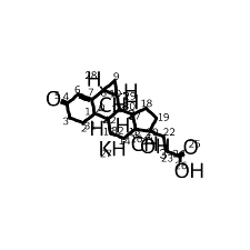 C[C@]12CCC(=O)C=C1[C@H]1C[C@H]1[C@@H]1[C@@H]2CC[C@@]2(C)[C@H]1CC[C@@]2(O)CCC(=O)O.[KH]